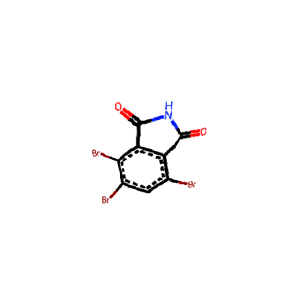 O=C1NC(=O)c2c(Br)c(Br)cc(Br)c21